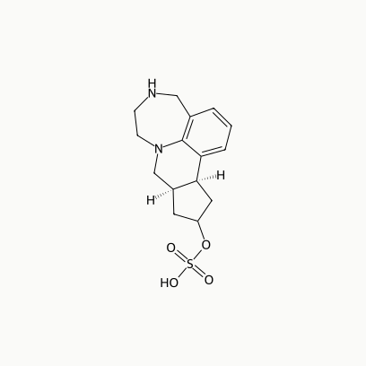 O=S(=O)(O)OC1C[C@H]2CN3CCNCc4cccc(c43)[C@H]2C1